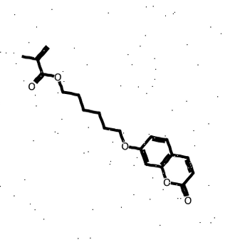 C=C(C)C(=O)OCCCCCCOc1ccc2ccc(=O)oc2c1